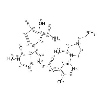 CCCN1CCN(c2cc(NC(=O)Cn3cc(C4C#CC(F)=C(O)C(C(N)=O)=C4)c4c(=O)n(C)cnc43)c(Cl)cn2)[C@@H](C)C1